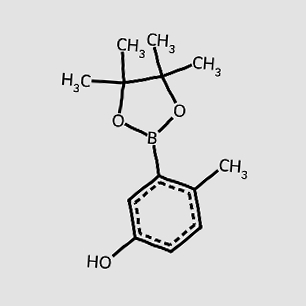 Cc1ccc(O)cc1B1OC(C)(C)C(C)(C)O1